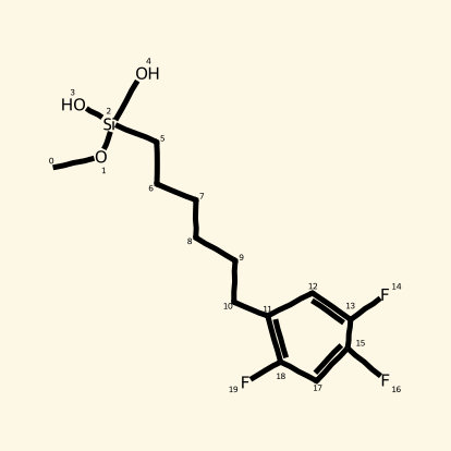 CO[Si](O)(O)CCCCCCc1cc(F)c(F)cc1F